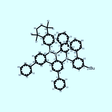 CC(C)(C)c1ccc(N2c3cc(-c4ccccc4)cc4c3B(c3c2sc2ccccc32)N(c2ccc3c(c2)C(C)(C)CCC3(C)C)c2ccc(-c3ccccc3)cc2-4)c(-c2ccccc2)c1